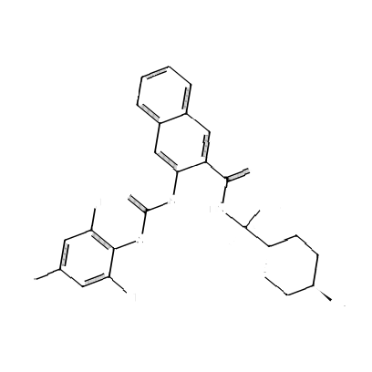 CC(C)(C)[C@H]1CC[C@H]([C@](C)(NC(=O)c2cc3ccccc3cc2NC(=O)Nc2c(Cl)cc(Cl)cc2Cl)C(=O)O)CC1